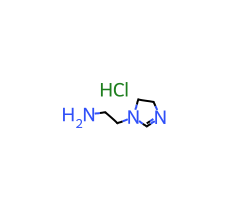 Cl.NCCN1C=NCC1